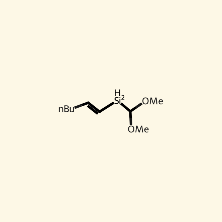 CCCCC=C[SiH2]C(OC)OC